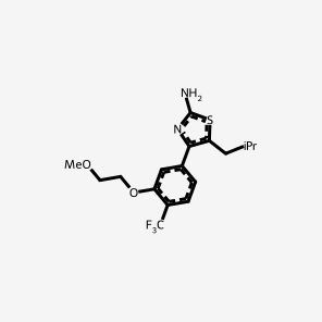 COCCOc1cc(-c2nc(N)sc2CC(C)C)ccc1C(F)(F)F